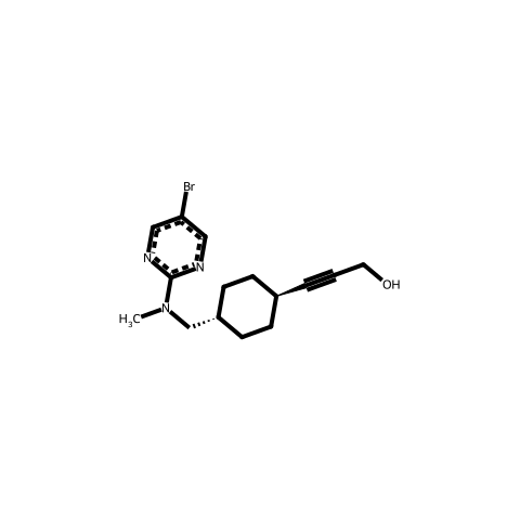 CN(C[C@H]1CC[C@H](C#CCO)CC1)c1ncc(Br)cn1